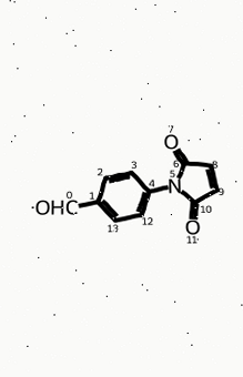 O=[C]c1ccc(N2C(=O)C=CC2=O)cc1